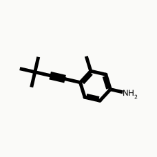 Cc1cc(N)ccc1C#CC(C)(C)C